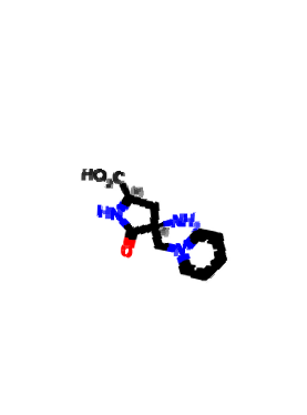 N[C@]1(C[n+]2ccccc2)C[C@H](C(=O)O)NC1=O